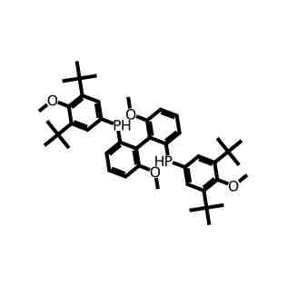 COc1cccc(Pc2cc(C(C)(C)C)c(OC)c(C(C)(C)C)c2)c1-c1c(OC)cccc1Pc1cc(C(C)(C)C)c(OC)c(C(C)(C)C)c1